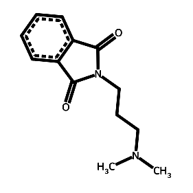 CN(C)CCCN1C(=O)c2ccccc2C1=O